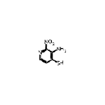 Nc1c(S)ccnc1[N+](=O)[O-]